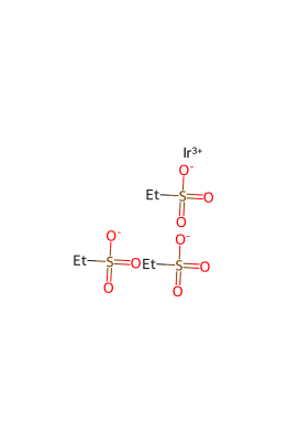 CCS(=O)(=O)[O-].CCS(=O)(=O)[O-].CCS(=O)(=O)[O-].[Ir+3]